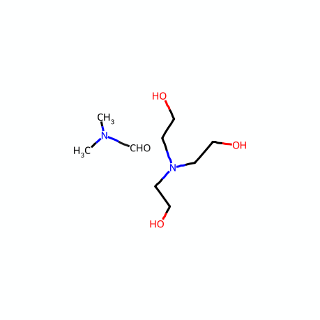 CN(C)C=O.OCCN(CCO)CCO